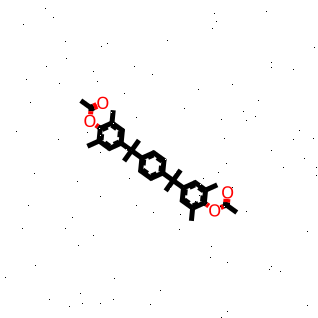 CC(=O)Oc1c(C)cc(C(C)(C)c2ccc(C(C)(C)c3cc(C)c(OC(C)=O)c(C)c3)cc2)cc1C